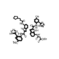 COC(=O)CC(=O)Nc1cccc2cc(C(=O)Nc3ccc(C#N)cc3-c3nnn[nH]3)[nH]c12.N#Cc1ccc(NC(=O)c2cc3cccc(NC(=O)CCC4CCCC4)c3[nH]2)c(-c2nnn[nH]2)c1